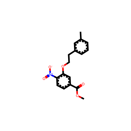 COC(=O)c1ccc([N+](=O)[O-])c(OCCc2cccc(C)c2)c1